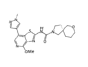 COc1ncc(-c2cnn(C)c2)c2sc(NC(=O)N3CC[C@]4(CCCOC4)C3)nc12